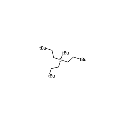 CC(C)(C)CC[Si](CCC(C)(C)C)(CCC(C)(C)C)C(C)(C)C